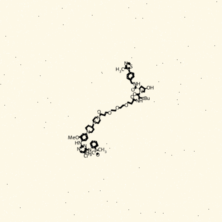 COc1cc(N2CCC(N3CCN(C(=O)CCOCCOCCOCCC(=O)NC(C(=O)N4C[C@H](O)C[C@H]4C(=O)NCc4ccc(-c5scnc5C)cc4)C(C)(C)C)CC3)CC2)ccc1Nc1ncc(Cl)c(Nc2ccccc2P(C)(C)=O)n1